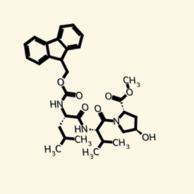 COC(=O)[C@@H]1C[C@@H](O)CN1C(=O)[C@@H](NC(=O)[C@H](CC(C)C)NC(=O)OCC1c2ccccc2-c2ccccc21)C(C)C